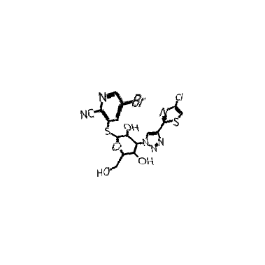 N#Cc1ncc(Br)cc1SC1OC(CO)C(O)C(n2cc(-c3nc(Cl)cs3)nn2)C1O